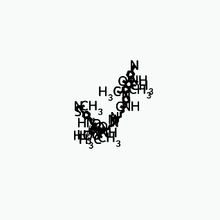 CCc1cc2c(cc1N1CCC(NC(=O)CCCc3cn(CCCC(=O)NC(C(=O)N4C[C@H](O)C[C@H]4C(=O)NCc4ccc(-c5scnc5C)cc4)C(C)(C)C)nn3)CC1)C(C)(C)c1[nH]c3cc(C#N)ccc3c1C2=O